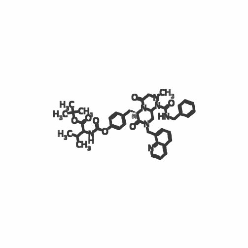 CC(C)C(NC(=O)Oc1ccc(C[C@H]2C(=O)N(Cc3cccc4cccnc34)CC3N2C(=O)CN(C)N3C(=O)NCc2ccccc2)cc1)C(=O)OC(C)(C)C